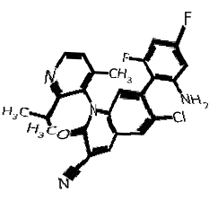 Cc1ccnc(C(C)C)c1-n1c(=O)c(C#N)cc2cc(Cl)c(-c3c(N)cc(F)cc3F)cc21